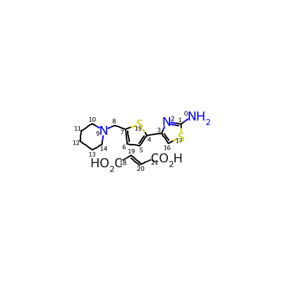 Nc1nc(-c2ccc(CN3CCCCC3)s2)cs1.O=C(O)C=CC(=O)O